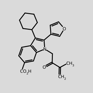 C=C(C)C(=O)Cn1c(-c2ccoc2)c(C2CCCCC2)c2ccc(C(=O)O)cc21